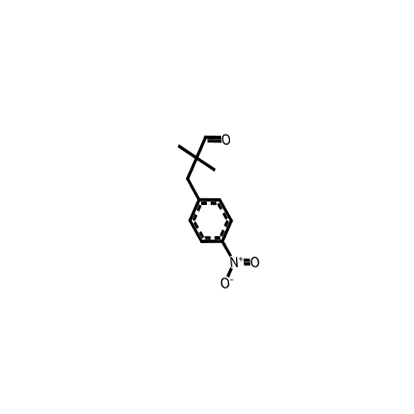 CC(C)(C=O)Cc1ccc([N+](=O)[O-])cc1